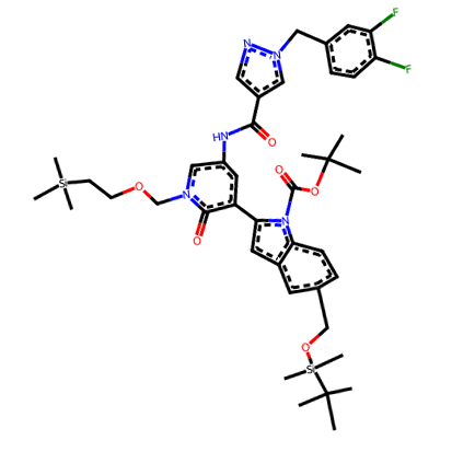 CC(C)(C)OC(=O)n1c(-c2cc(NC(=O)c3cnn(Cc4ccc(F)c(F)c4)c3)cn(COCC[Si](C)(C)C)c2=O)cc2cc(CO[Si](C)(C)C(C)(C)C)ccc21